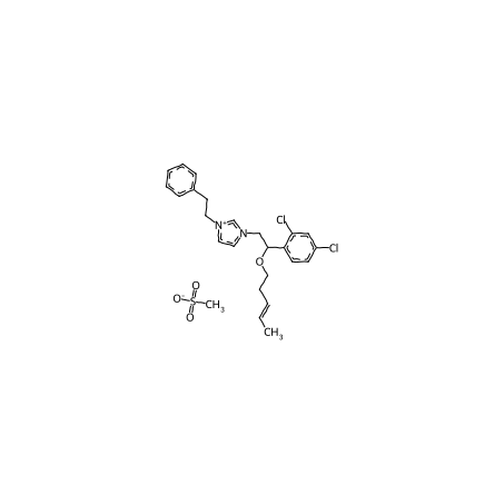 CC=CCCOC(Cn1cc[n+](CCc2ccccc2)c1)c1ccc(Cl)cc1Cl.CS(=O)(=O)[O-]